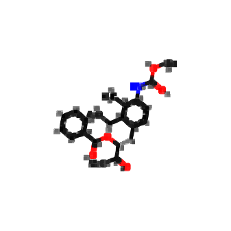 COC(=O)[C@@H](Cc1ccc(NC(=O)OC(C)(C)C)c(C)c1COC(C)=O)OC(=O)c1ccccc1